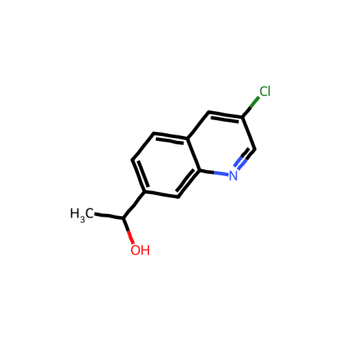 CC(O)c1ccc2cc(Cl)cnc2c1